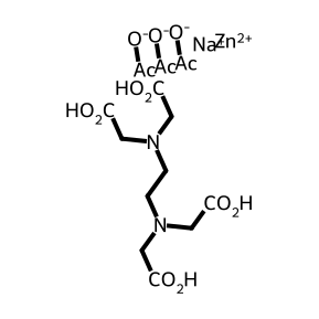 CC(=O)[O-].CC(=O)[O-].CC(=O)[O-].O=C(O)CN(CCN(CC(=O)O)CC(=O)O)CC(=O)O.[Na+].[Zn+2]